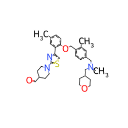 Cc1ccc(OCc2ccc(CN(C)CC3CCOCC3)cc2C)c(-c2csc(N3CCC(C=O)CC3)n2)c1